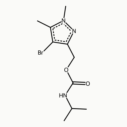 Cc1c(Br)c(COC(=O)NC(C)C)nn1C